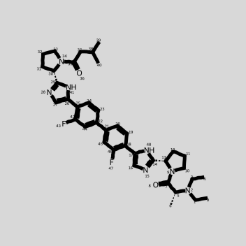 CCN(CC)[C@H](C)C(=O)N1CCC[C@H]1c1ncc(-c2ccc(-c3ccc(-c4cnc([C@@H]5CCCN5C(=O)CC(C)C)[nH]4)c(F)c3)cc2F)[nH]1